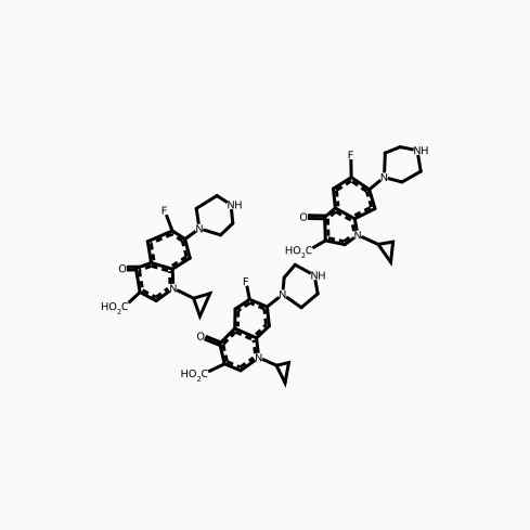 O=C(O)c1cn(C2CC2)c2cc(N3CCNCC3)c(F)cc2c1=O.O=C(O)c1cn(C2CC2)c2cc(N3CCNCC3)c(F)cc2c1=O.O=C(O)c1cn(C2CC2)c2cc(N3CCNCC3)c(F)cc2c1=O